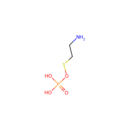 NCCSOP(=O)(O)O